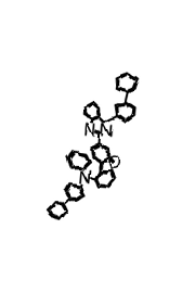 c1ccc(-c2ccc(N(c3ccccc3)c3cccc4oc5cc(-c6nc(-c7cccc(-c8ccccc8)c7)c7ccccc7n6)ccc5c34)cc2)cc1